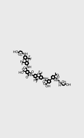 CC(=O)c1ccc(-c2ccc(C(=O)O)c(C(=O)Nc3ccc(-c4ccc(NC(=O)c5cc(C(=O)Nc6ccc(-c7ccc(NC(=O)/C=C\C(=O)O)cc7C(F)(F)F)c(C(F)(F)F)c6)c(C(=O)O)cc5C=O)cc4C(F)(F)F)c(C(F)(F)F)c3)c2)cc1C(=O)NCNC(=O)/C=C\C(=O)O